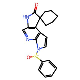 O=C1Nc2cnc3c(ccn3[S+]([O-])c3ccccc3)c2C12CCCCC2